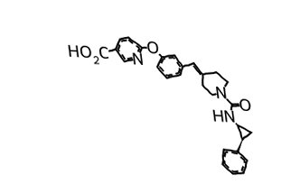 O=C(O)c1ccc(Oc2cccc(C=C3CCN(C(=O)N[C@@H]4C[C@H]4c4ccccc4)CC3)c2)nc1